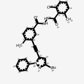 Cc1ccc(C(=O)NNC(=O)c2c(C)cccc2Cl)cc1C#Cc1cc(C(C)(C)C)nn1-c1ccccc1